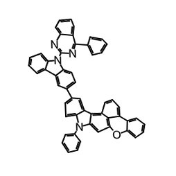 c1ccc(-c2nc(-n3c4ccccc4c4cc(-c5ccc6c(c5)c5c7cccc8c7c(cc5n6-c5ccccc5)Oc5ccccc5-8)ccc43)nc3ccccc23)cc1